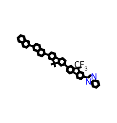 CC1(C)c2cc(-c3ccc4c(c3)C(C)(C(F)(F)F)c3cc(-c5cnc6ccccc6n5)ccc3-4)ccc2-c2ccc(-c3ccc4cc(-c5ccc6ccccc6c5)ccc4c3)cc21